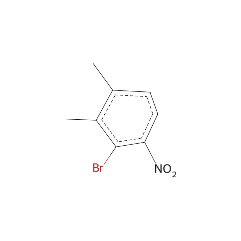 Cc1ccc([N+](=O)[O-])c(Br)c1C